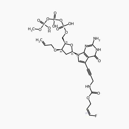 C=CCO[C@@H]1C[C@H](n2cc(C#CCNC(=O)OC/C=C\F)c3c(=O)[nH]c(N)nc32)O[C@@H]1COP(=O)(O)OP(=O)(O)OP(=O)(O)OC